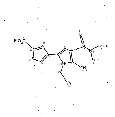 CCCCCCN(CC)C(=O)c1cc(-c2csc(C(=O)OCC)n2)n(CC(C)C)c1C